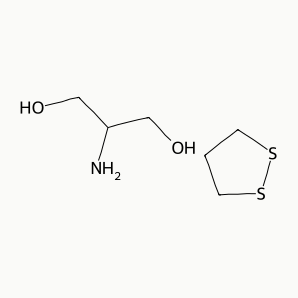 C1CSSC1.NC(CO)CO